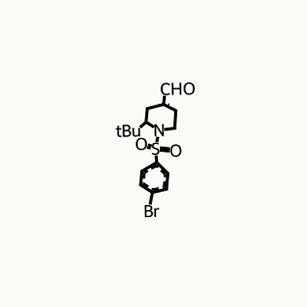 CC(C)(C)C1C[C](C=O)CCN1S(=O)(=O)c1ccc(Br)cc1